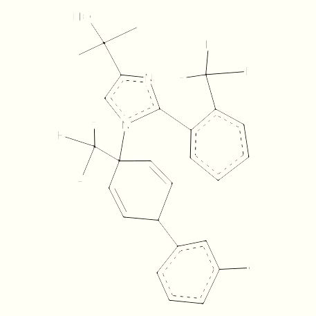 CC(C)(O)c1cn(C2(C(F)(F)F)C=CC(c3cccc(Cl)c3)C=C2)c(-c2ccccc2C(F)(F)F)n1